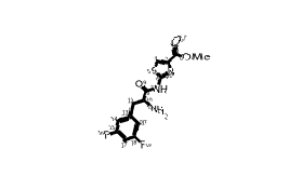 COC(=O)c1csc(NC(=O)C(N)Cc2cc(F)cc(F)c2)n1